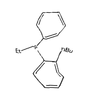 CCCCc1ccccc1P(CC)c1ccccc1